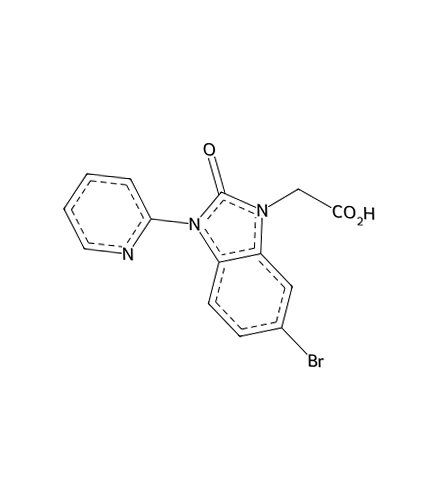 O=C(O)Cn1c(=O)n(-c2ccccn2)c2ccc(Br)cc21